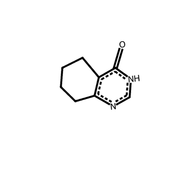 O=c1[nH]cnc2c1CCCC2